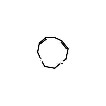 C1=CCCCCCCC=CC1